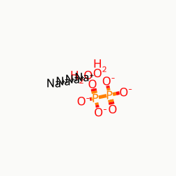 O.O.O=P([O-])([O-])P(=O)([O-])[O-].[Na+].[Na+].[Na+].[Na+]